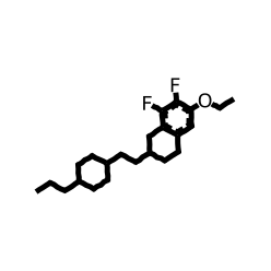 CCCC1CCC(CCC2CCc3cc(OCC)c(F)c(F)c3C2)CC1